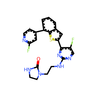 O=C1NCCN1CCNc1ncc(F)c(-c2cc3cccc(-c4[c]cnc(F)c4)c3s2)n1